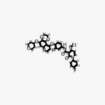 CCOc1ccn(-c2ccc(F)cc2)c(=O)c1C(=O)Nc1ccc(Oc2ccnc3cc(OC4CCOCC4)c4c(c23)OCCO4)c(F)c1